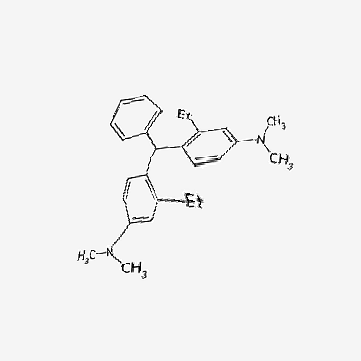 CCc1cc(N(C)C)ccc1C(c1ccccc1)c1ccc(N(C)C)cc1CC